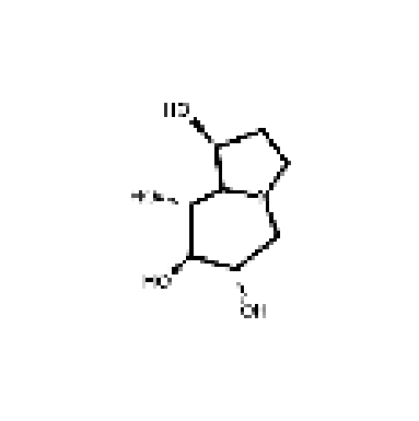 O[C@H]1[C@H](O)C2[C@@H](O)CCN2C[C@@H]1O